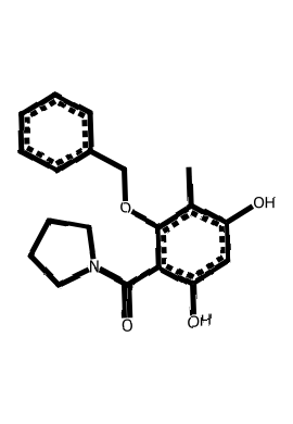 Cc1c(O)cc(O)c(C(=O)N2CCCC2)c1OCc1ccccc1